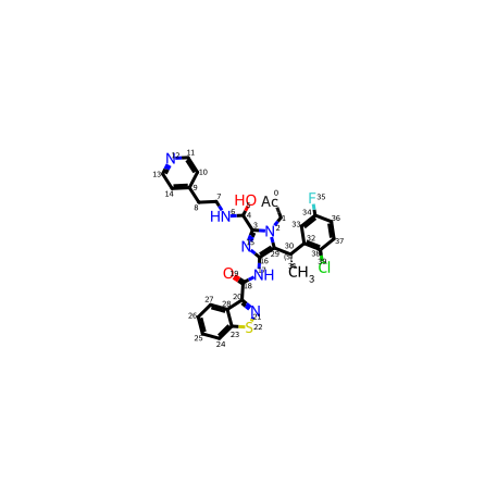 CC(=O)Cn1c(C(O)NCCc2ccncc2)nc(NC(=O)c2nsc3ccccc23)c1[C@@H](C)c1cc(F)ccc1Cl